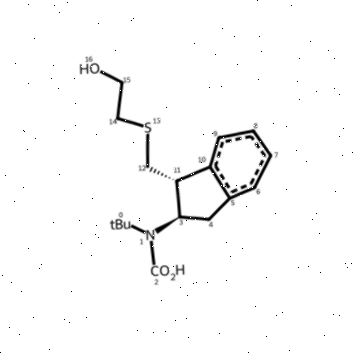 CC(C)(C)N(C(=O)O)[C@@H]1Cc2ccccc2[C@H]1CSCCO